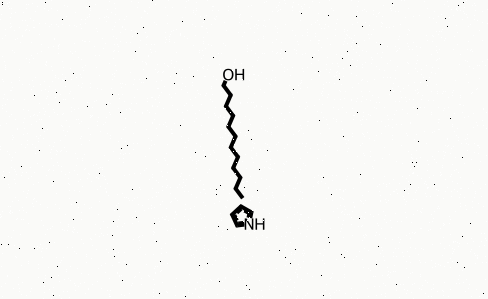 CCCCCCCCCCCCO.c1cc[nH]c1